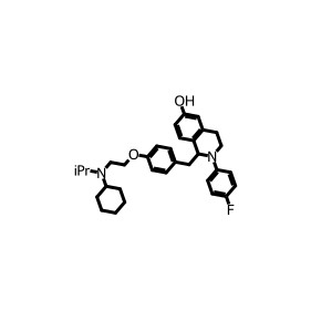 CC(C)N(CCOc1ccc(CC2c3ccc(O)cc3CCN2c2ccc(F)cc2)cc1)C1CCCCC1